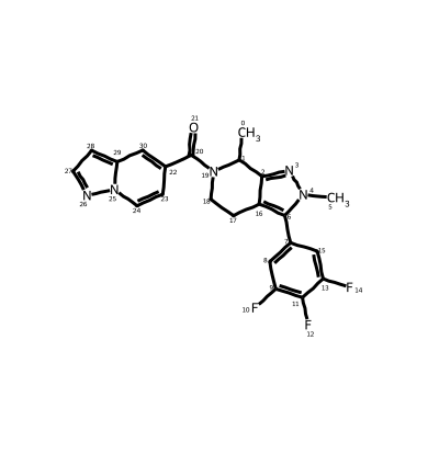 CC1c2nn(C)c(-c3cc(F)c(F)c(F)c3)c2CCN1C(=O)c1ccn2nccc2c1